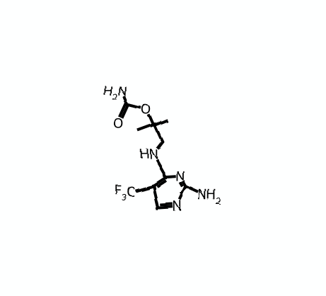 CC(C)(CNc1nc(N)ncc1C(F)(F)F)OC(N)=O